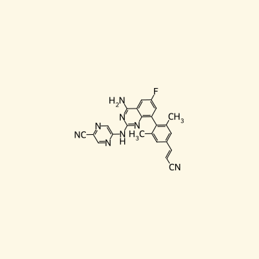 Cc1cc(C=CC#N)cc(C)c1-c1cc(F)cc2c(N)nc(Nc3cnc(C#N)cn3)nc12